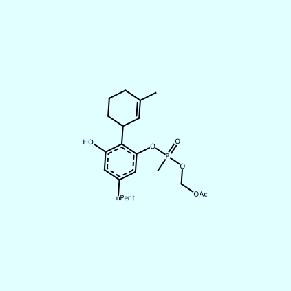 CCCCCc1cc(O)c(C2C=C(C)CCC2)c(OP(C)(=O)OCOC(C)=O)c1